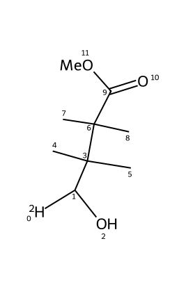 [2H]C(O)C(C)(C)C(C)(C)C(=O)OC